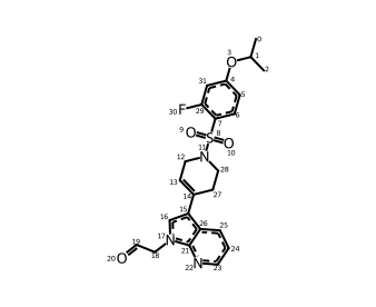 CC(C)Oc1ccc(S(=O)(=O)N2CC=C(c3cn(CC=O)c4ncccc34)CC2)c(F)c1